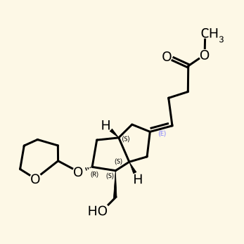 COC(=O)CC/C=C1\C[C@H]2C[C@@H](OC3CCCCO3)[C@H](CO)[C@H]2C1